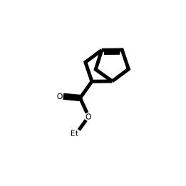 CCOC(=O)C1CC2=CCC1C2